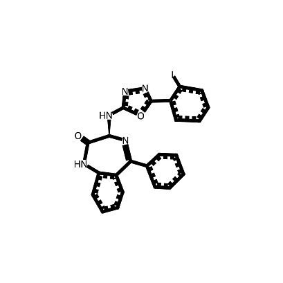 O=C1Nc2ccccc2C(c2ccccc2)=N[C@@H]1Nc1nnc(-c2ccccc2I)o1